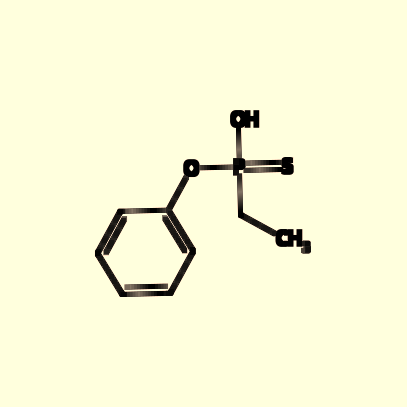 CCP(O)(=S)Oc1ccccc1